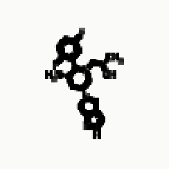 C[C@H](O)CN1C[C@H](N2Cc3c[nH]nc3C2)C[C@H](N)[C@H]1c1cc(F)ccc1F